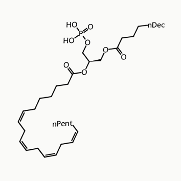 CCCCC/C=C\C/C=C\C/C=C\C/C=C\CCCCCC(=O)O[C@H](COC(=O)CCCCCCCCCCCCC)COP(=O)(O)O